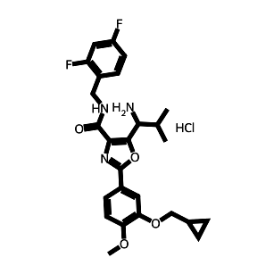 COc1ccc(-c2nc(C(=O)NCc3ccc(F)cc3F)c(C(N)C(C)C)o2)cc1OCC1CC1.Cl